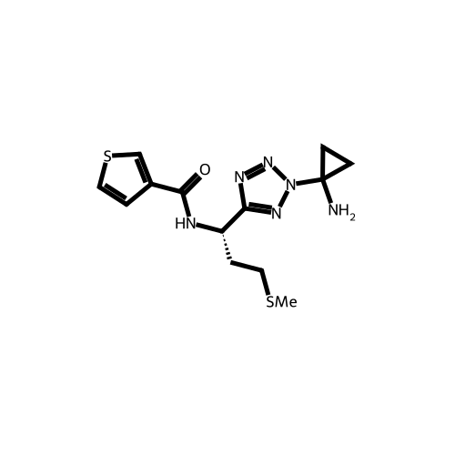 CSCC[C@H](NC(=O)c1ccsc1)c1nnn(C2(N)CC2)n1